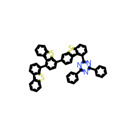 c1ccc(-c2nc(-c3ccccc3)nc(-c3cccc4sc5cc(-c6ccc(-c7cccc8c7sc7ccccc78)c7c6sc6ccccc67)ccc5c34)n2)cc1